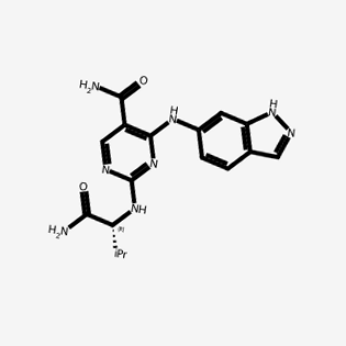 CC(C)[C@@H](Nc1ncc(C(N)=O)c(Nc2ccc3cn[nH]c3c2)n1)C(N)=O